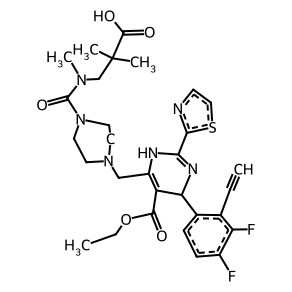 C#Cc1c(C2N=C(c3nccs3)NC(CN3CCN(C(=O)N(C)CC(C)(C)C(=O)O)CC3)=C2C(=O)OCC)ccc(F)c1F